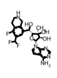 C[C@@]1(O)[C@@H](C(O)c2cc(C(F)F)c(F)c3c2CNCC3)O[C@@H](n2ccc3c(N)ncnc32)[C@@H]1O